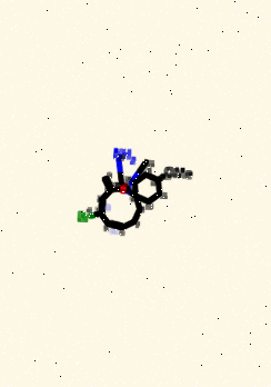 C=C1/C=C(Br)\C=C/CCC2(CCC(OC)CC2)C12N=C(N)N(C)O2